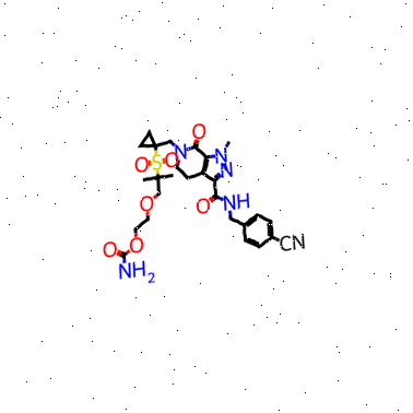 Cn1nc(C(=O)NCc2ccc(C#N)cc2)c2c1C(=O)N(CC1(S(=O)(=O)C(C)(C)COCCOC(N)=O)CC1)CC2